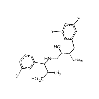 CC(=O)N[C@@H](Cc1cc(F)cc(F)c1)[C@H](O)CNC(c1cccc(Br)c1)C(C)C(=O)O